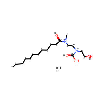 CCCCCCCCCCCC(=O)N(C)CCN(CCO)C(=O)O.[KH]